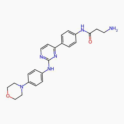 NCCC(=O)Nc1ccc(-c2ccnc(Nc3ccc(N4CCOCC4)cc3)n2)cc1